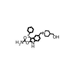 NC(=O)Oc1[nH]c2ccc(CN3CCC(CO)CC3)cc2c1Sc1ccccc1